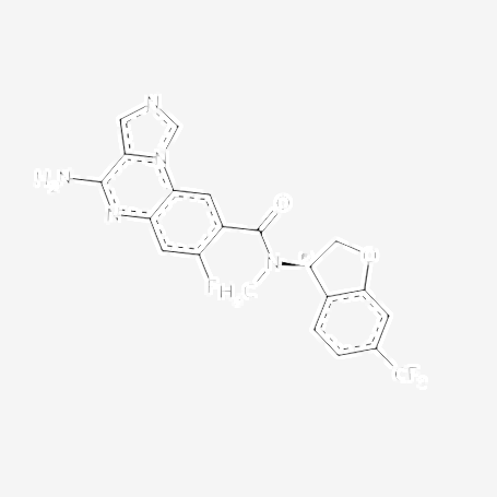 CN(C(=O)c1cc2c(cc1F)nc(N)c1cncn12)[C@H]1COc2cc(C(F)(F)F)ccc21